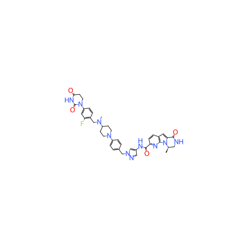 C[C@@H]1CNC(=O)c2cc3ccc(C(=O)Nc4cnn(Cc5ccc(N6CCC(N(C)Cc7ccc(N8CCC(=O)NC8=O)cc7F)CC6)cc5)c4)nc3n21